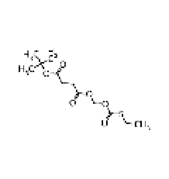 CCSC(=O)OCOC(=O)CCC(=O)OC(C)(C)C